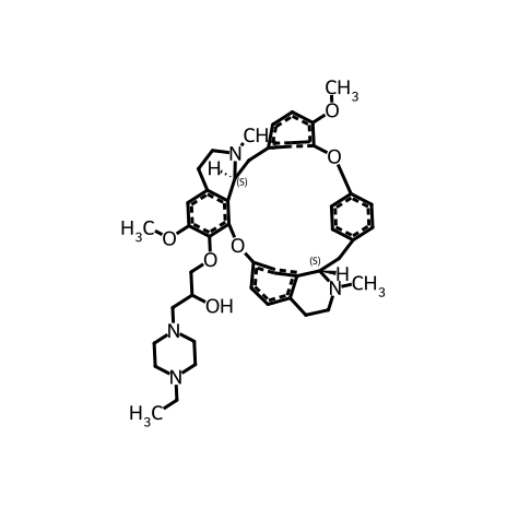 CCN1CCN(CC(O)COc2c(OC)cc3c4c2Oc2ccc5c(c2)[C@H](Cc2ccc(cc2)Oc2cc(ccc2OC)C[C@@H]4N(C)CC3)N(C)CC5)CC1